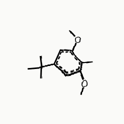 COc1cc(C(C)(C)C)cc(OC)c1C